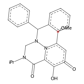 COCc1cc(=O)c(O)c2n1N(C(c1ccccc1)c1ccccc1)CN(C(C)C)C2=O